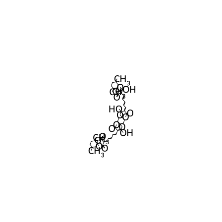 CC1CCC(C)C2(C1)OC(=O)C(=C/C=C/C=C/C1=C(O)OC3(CCC4(CC3)OC(=O)/C(=C/C=C/C=C/C3=C(O)OC5(CC(C)CCC5C)OC3=O)C(O)O4)OC1=O)C(=O)O2